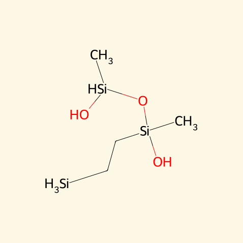 C[SiH](O)O[Si](C)(O)CC[SiH3]